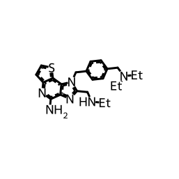 CCNCc1nc2c(N)nc3ccsc3c2n1Cc1ccc(CN(CC)CC)cc1